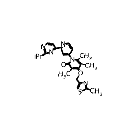 Cc1nc(COc2c(C)c(C)n(-c3ccnc(-c4ccnc(C(C)C)n4)c3)c(=O)c2C)cs1